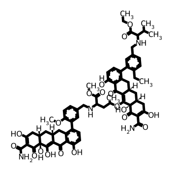 CCOC(=O)C(NCc1ccc(CC)c(-c2ccc(O)c3c2C[C@H]2C[C@H]4CC(O)=C(C(N)=O)C(=O)[C@@]4(O)C(OC(C)CC(NCc4ccc(OC)c(-c5ccc(O)c6c5C[C@H]5C[C@H]7CC(O)=C(C(N)=O)C(=O)[C@@]7(O)C(O)=C5C6=O)c4)C(=O)OC)=C2C3=O)c1)C(C)C